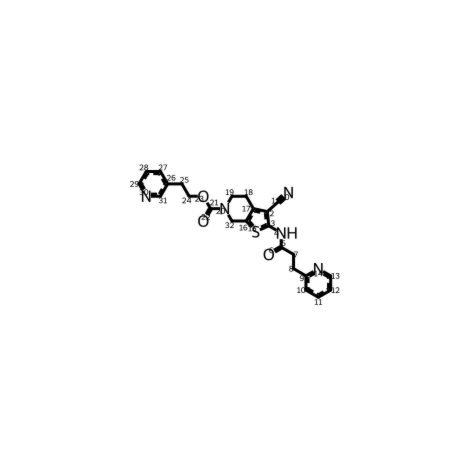 N#Cc1c(NC(=O)CCc2ccccn2)sc2c1CCN(C(=O)OCCc1cccnc1)C2